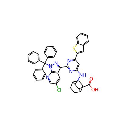 O=C(O)C1C2CCC(CC2)C1Nc1cc(-c2cc3ccccc3s2)nc(-c2nn(C(c3ccccc3)(c3ccccc3)c3ccccc3)c3ncc(Cl)cc23)n1